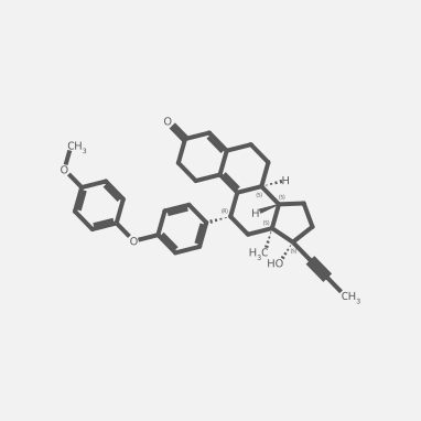 CC#C[C@]1(O)CC[C@H]2[C@@H]3CCC4=CC(=O)CCC4=C3[C@@H](c3ccc(Oc4ccc(OC)cc4)cc3)C[C@@]21C